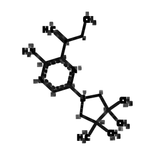 C=C(CC)c1nc(B2CC(C)(C)C(C)(C)C2)cnc1N